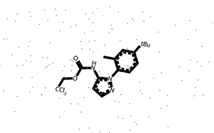 Cc1cc(C(C)(C)C)ccc1-n1nccc1NC(=O)OCC(Cl)(Cl)Cl